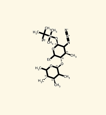 CCC1O[C@@H](O[Si](C)(C)C(C)(C)C(C)C)C(N=[N+]=[N-])[C@@H](C)[C@@H]1O[C@@H]1OC(C)[C@@H](C)[C@H](C)C1C